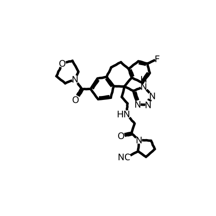 N#CC1CCCN1C(=O)CNCCC1(c2nnn[nH]2)c2ccc(F)cc2CCc2cc(C(=O)N3CCOCC3)ccc21